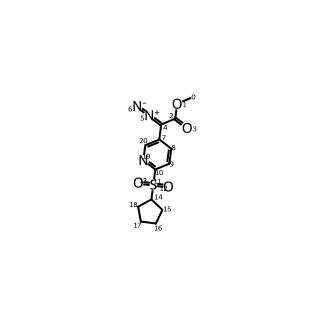 COC(=O)C(=[N+]=[N-])c1ccc(S(=O)(=O)C2CCCC2)nc1